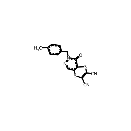 Cc1ccc(Cn2ncc3c(c2=O)SC(C#N)=C(C#N)S3)cc1